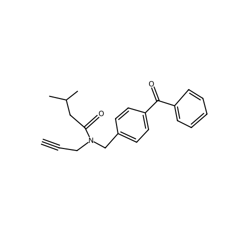 C#CCN(Cc1ccc(C(=O)c2ccccc2)cc1)C(=O)CC(C)C